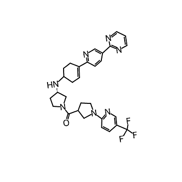 O=C(C1CCN(c2ccc(C(F)(F)F)cn2)C1)N1CC[C@H](NC2CC=C(c3ccc(-c4ncccn4)cn3)CC2)C1